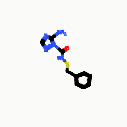 Nc1ncnn1C(=O)NSCc1ccccc1